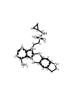 Nc1ncnc2c1nc(Sc1cc3c(cc1I)CCO3)n2CCS(=O)(=O)NC1CC1